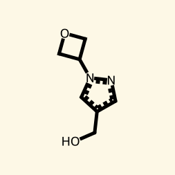 OCc1cnn(C2COC2)c1